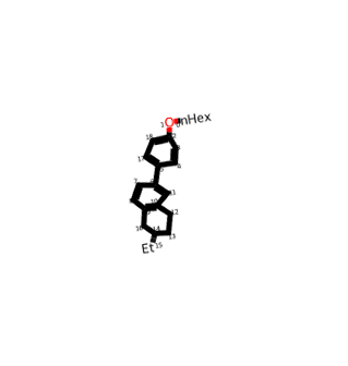 CCCCCCOc1ccc(-c2ccc3c(c2)CCC(CC)C3)cc1